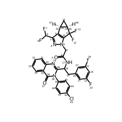 O=C(Cn1nc(C(F)F)c2c1C(F)(F)[C@@H]1C[C@H]21)NC(Cc1cc(F)cc(F)c1)c1nc2ccccc2c(=O)n1-c1ccc(Cl)cc1